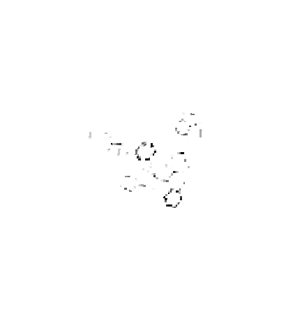 NC(=O)CNc1cccc(S(=O)(=O)N(C[C@@H](O)[C@H](Cc2ccccc2)NC(=O)O[C@H]2CO[C@H]3OCC[C@H]32)OC2CCCC2)c1